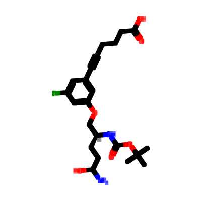 CC(C)(C)OC(=O)N[C@@H](CCC(N)O)COc1cc(F)cc(C#CCCCC(=O)O)c1